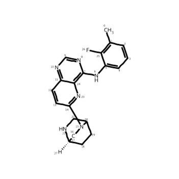 Cc1cccc(Nc2ncnc3ccc(N4C[C@H]5CCC4CN5)nc23)c1F